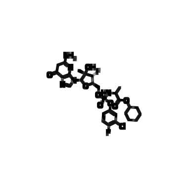 CC(NP(=O)(OC[C@H]1O[C@@H](n2cnc3c2N=C(N)CC3=O)[C@](C)(O)[C@@H]1F)Oc1ccc(F)c(Cl)c1)C(=O)OC1CCCCC1